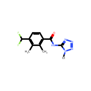 CCn1nnnc1NC(=O)c1ccc(C(F)F)c(C)c1C